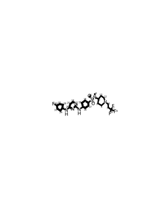 CN(C1CCN(CCC(F)(F)F)CC1)S(=O)(=O)c1ccc(Nc2nccc(Nc3ccc(F)cc3)n2)cc1